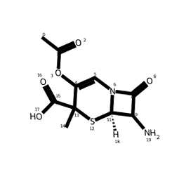 CC(=O)OC1=CN2C(=O)C(N)[C@H]2SC1(C)C(=O)O